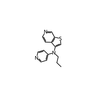 CCCN(c1ccncc1)c1csc2cnccc12